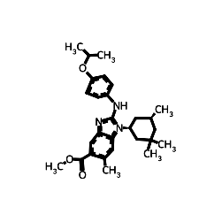 COC(=O)c1cc2nc(Nc3ccc(OC(C)C)cc3)n([C@H]3C[C@@H](C)CC(C)(C)C3)c2cc1C